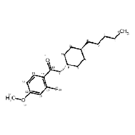 CCCCC[C@H]1CC[C@H](CC(=O)c2ccc(OC)cc2F)CC1